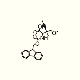 CC#C[C@](C)(COC)[C@@H](NC(=O)OCC1c2ccccc2-c2ccccc21)C(=O)O